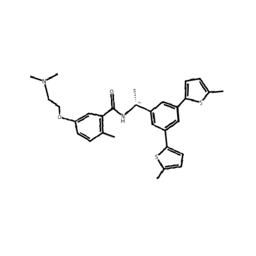 Cc1ccc(-c2cc(-c3ccc(C)s3)cc([C@@H](C)NC(=O)c3cc(OCCN(C)C)ccc3C)c2)s1